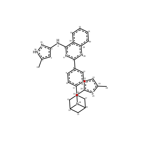 Cc1cc(Nc2nc(-c3ccc(N4CC5CC(C4)N5Cc4ncc(C)s4)nc3)nc3ccccc23)n[nH]1